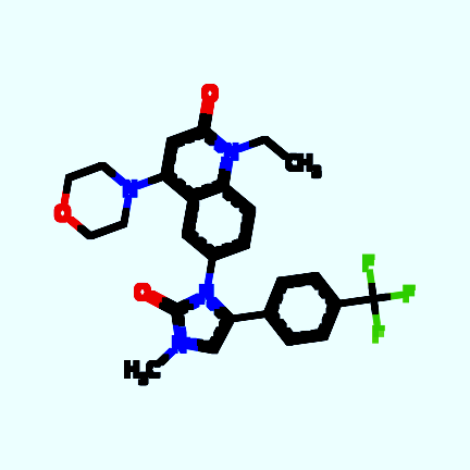 CCn1c(=O)cc(N2CCOCC2)c2cc(-n3c(-c4ccc(C(F)(F)F)cc4)cn(C)c3=O)ccc21